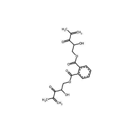 C=C(C)C(=O)C(O)COC(=O)c1ccccc1C(=O)OCC(O)C(=O)C(=C)C